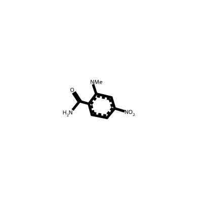 CNc1cc([N+](=O)[O-])ccc1C(N)=O